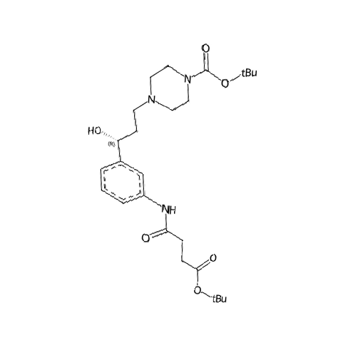 CC(C)(C)OC(=O)CCC(=O)Nc1cccc([C@H](O)CCN2CCN(C(=O)OC(C)(C)C)CC2)c1